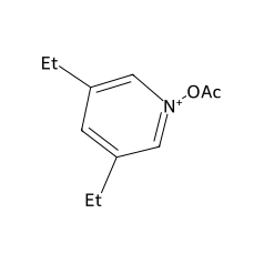 CCc1cc(CC)c[n+](OC(C)=O)c1